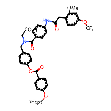 CCCCCCCOc1ccc(C(=O)Oc2ccc(CN(CC(=O)O)C(=O)c3ccc(NC(=O)Cc4ccc(OC(F)(F)F)cc4OC)cc3)cc2)cc1